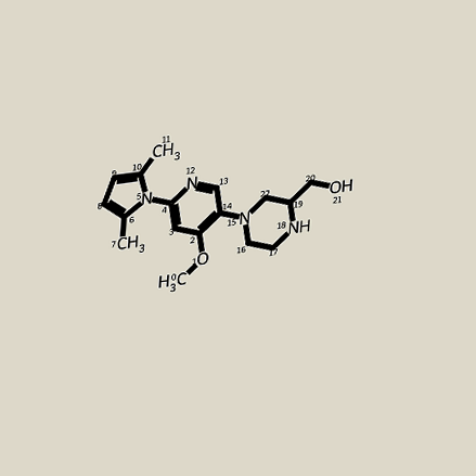 COc1cc(-n2c(C)ccc2C)ncc1N1CCNC(CO)C1